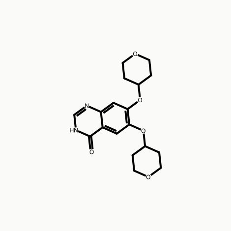 O=c1[nH]cnc2cc(OC3CCOCC3)c(OC3CCOCC3)cc12